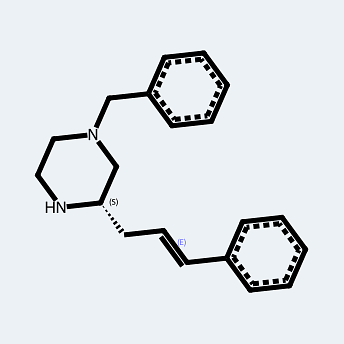 C(=C\c1ccccc1)/C[C@H]1CN(Cc2ccccc2)CCN1